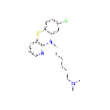 CN(C)CCCCCCN1c2cc(Cl)ccc2Sc2cccnc21